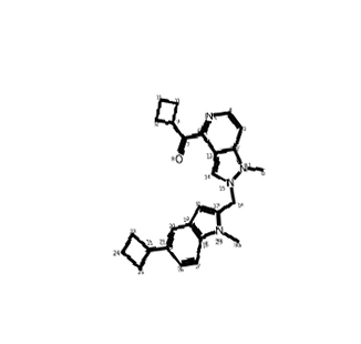 CN1C2C=CN=C(C(=O)C3CCC3)C2=CN1Cc1cc2cc(C3CCC3)ccc2n1C